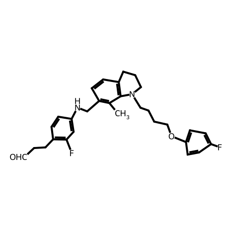 Cc1c(CNc2ccc(CCC=O)c(F)c2)ccc2c1N(CCCCOc1ccc(F)cc1)CCC2